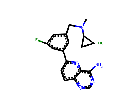 CN(Cc1cc(F)cc(-c2ccc3ncnc(N)c3n2)c1)C1CC1.Cl